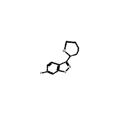 Fc1ccc2c(C3CCCC[N]3)nsc2c1